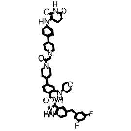 O=C1CCC(Nc2ccc(C3CCN(CC(=O)N4CCC(c5ccc(C(=O)Nc6n[nH]c7ccc(Cc8cc(F)cc(F)c8)cc67)c(NC6CCOCC6)c5)CC4)CC3)cc2)C(=O)N1